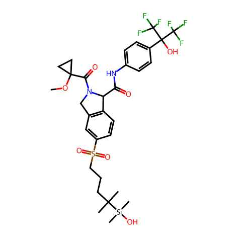 COC1(C(=O)N2Cc3cc(S(=O)(=O)CCCC(C)(C)[Si](C)(C)O)ccc3C2C(=O)Nc2ccc(C(O)(C(F)(F)F)C(F)(F)F)cc2)CC1